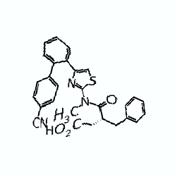 CN(C(=O)[C@@H](CC(=O)O)Cc1ccccc1)c1nc(-c2ccccc2-c2ccc(C#N)cc2)cs1